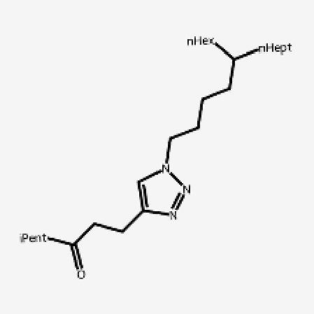 CCCCCCCC(CCCCCC)CCCCn1cc(CCC(=O)C(C)CCC)nn1